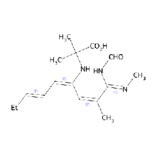 CC/C=C/C=C(\C=C(C)/C(=N/C)NC=O)NC(C)(C)C(=O)O